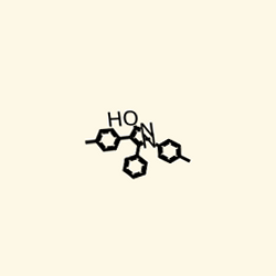 Cc1ccc(-c2c(O)nn(-c3ccc(C)cc3)c2-c2ccccc2)cc1